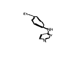 CCc1ccc(Nc2ccncn2)cc1